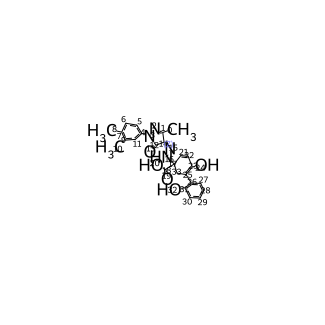 CC1=NN(c2ccc(C)c(C)c2)C(=O)/C1=N\NC1(C(=O)O)C=CC(O)=C(c2ccccc2O)C1